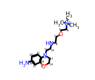 C[N+](C)(C)CCOCCNCCN1CCOc2cc(N)ccc21